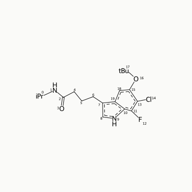 CC(C)NC(=O)CCCc1c[nH]c2c(F)c(Cl)c(OC(C)(C)C)cc12